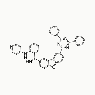 N=C(c1ccc2oc3ccc(-c4nc(-c5ccccc5)nc(-c5ccccc5)n4)cc3c2c1)c1ccccc1Nc1ccncc1